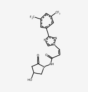 O=C(/C=C\n1cnc(-c2cc(C(F)(F)F)cc(C(F)(F)F)c2)n1)NN1CC(O)CC1=O